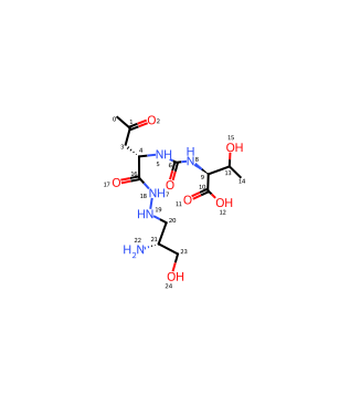 CC(=O)C[C@H](NC(=O)N[C@H](C(=O)O)C(C)O)C(=O)NNC[C@@H](N)CO